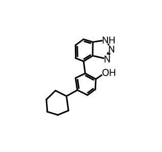 Oc1ccc(C2CCCCC2)cc1-c1cccc2[nH]nnc12